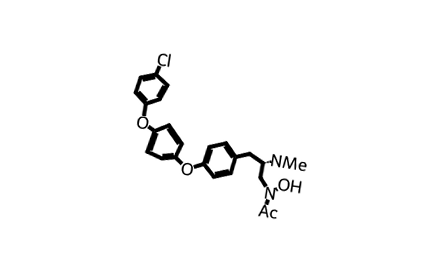 CN[C@@H](Cc1ccc(Oc2ccc(Oc3ccc(Cl)cc3)cc2)cc1)CN(O)C(C)=O